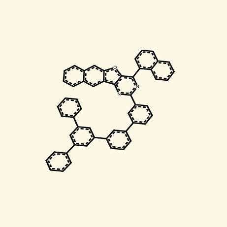 c1ccc(-c2cc(-c3ccccc3)cc(-c3cccc(-c4cccc(-c5nc(-c6cccc7ccccc67)c6oc7cc8ccccc8cc7c6n5)c4)c3)c2)cc1